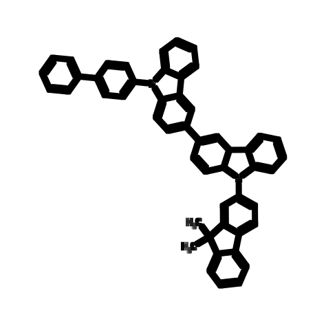 CC1(C)c2ccccc2-c2ccc(N3c4ccccc4C4C=C(c5ccc6c(c5)c5ccccc5n6-c5ccc(-c6ccccc6)cc5)C=CC43)cc21